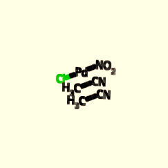 CC#N.CC#N.O=[N+]([O-])[Pd][Cl]